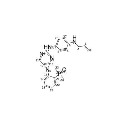 C=CCNc1c#cc(Nc2ncc3c(n2)N3c2ccccc2P(C)(C)=O)cc1